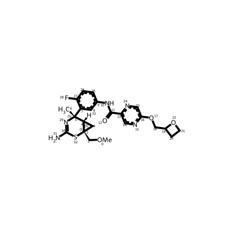 COC[C@]12C[C@H]1[C@@](C)(c1cc(NC(=O)c3cnc(OCC4CCO4)cn3)ccc1F)N=C(N)S2